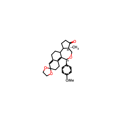 COc1ccc([C@@H]2OC[C@]3(C)C(=O)CCC3C3CCC4=CC5(CCC4=C32)OCCO5)cc1